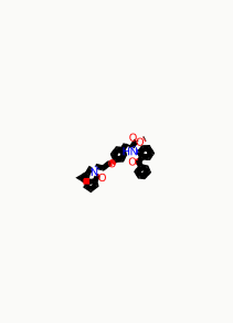 COC(=O)[C@H](Cc1ccc(OCCCN(CC2CC2)C(=O)C2CCCC2)cc1)Nc1ccccc1C(=O)c1ccccc1